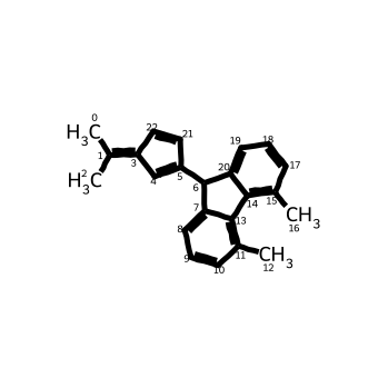 CC(C)=C1[C]=C(C2c3cccc(C)c3-c3c(C)cccc32)C=C1